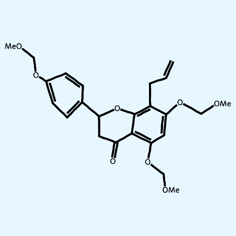 C=CCc1c(OCOC)cc(OCOC)c2c1OC(c1ccc(OCOC)cc1)CC2=O